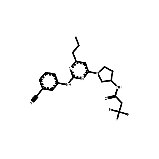 CCCc1cc(N2CCC(NC(=O)CC(F)(F)F)C2)nc(Nc2cccc(C#N)c2)n1